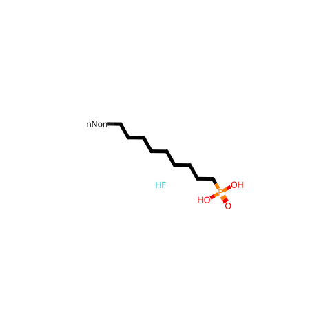 CCCCCCCCCCCCCCCCCCP(=O)(O)O.F